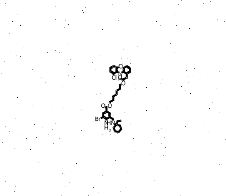 CCC1(NCc2cc(C(=O)OCCCCCCCOC(=O)Cc3ccccc3Nc3c(Cl)cccc3Cl)cc(Br)c2N)CCCCC1